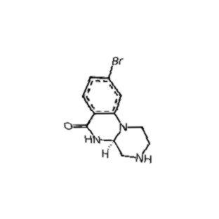 O=C1N[C@@H]2CNCCN2c2cc(Br)ccc21